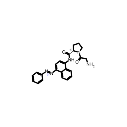 NCC(=O)N1CCC[C@H]1C(=O)Nc1ccc(/N=N/c2ccccc2)c2ccccc12